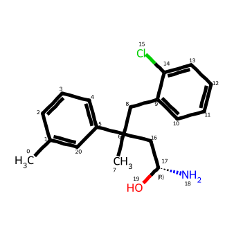 Cc1cccc(C(C)(Cc2ccccc2Cl)C[C@H](N)O)c1